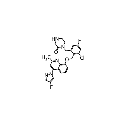 Cc1cc(-n2cc(F)cn2)c2cccc(OCc3c(Cl)cc(F)cc3CN3CCNCC3=O)c2n1